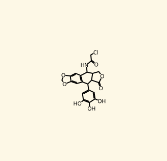 O=C(CCl)NC1c2cc3c(cc2C(c2cc(O)c(O)c(O)c2)C2C(=O)OCC12)OCO3